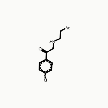 CC(=O)CCNCC(=O)c1ccc(Cl)cc1